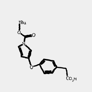 CC(C)(C)OC(=O)n1ccc(Oc2ccc(CC(=O)O)cc2)c1